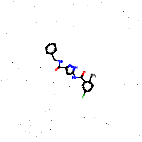 Cc1ccc(F)cc1C(=O)Nc1cc(C(=O)NCc2ccccc2)n[nH]1